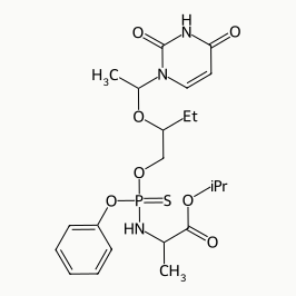 CCC(COP(=S)(NC(C)C(=O)OC(C)C)Oc1ccccc1)OC(C)n1ccc(=O)[nH]c1=O